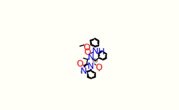 CCOc1ccccc1NC(=O)N(C(C)c1nc2ccccc2n(C)c1=O)[C@@H](COC)c1ccccc1